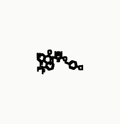 O=C(Nc1nnc(OCc2ccc(Cl)cc2)s1)c1cnccc1-c1ccccc1C(F)(F)F